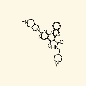 CN1CCC(CNC(=O)c2c(=O)c3cnc(N4CC5CCN(C)CC5C4)nc3n3c2sc2ccccc23)CC1